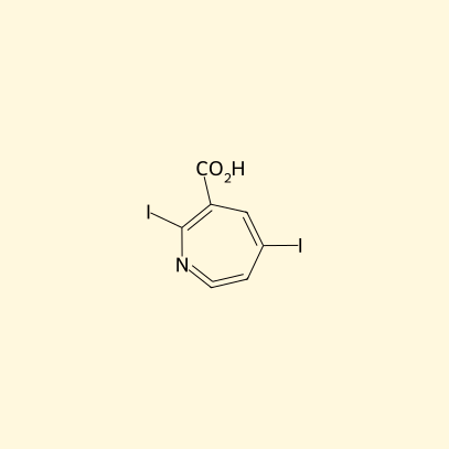 O=C(O)C1=C(I)N=C=CC(I)=C1